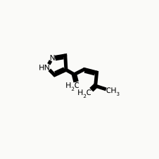 C=C(C)/C=C\C(=C)c1cn[nH]c1